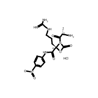 C[C@H](N)C(=O)N1C(=O)O[C@]1(CCCNC(=N)N)C(=O)Nc1ccc([N+](=O)[O-])cc1.Cl